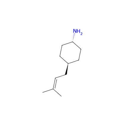 CC(C)=CC[C@H]1CC[C@H](N)CC1